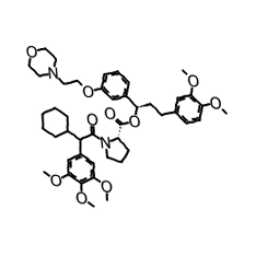 COc1ccc(CC[C@@H](OC(=O)[C@@H]2CCCN2C(=O)C(c2cc(OC)c(OC)c(OC)c2)C2CCCCC2)c2cccc(OCCN3CCOCC3)c2)cc1OC